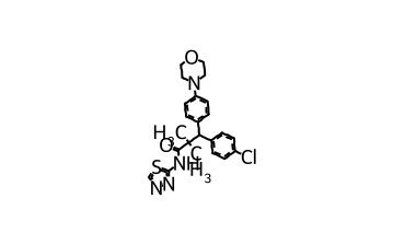 CC(C)(C(=O)Nc1nncs1)C(c1ccc(Cl)cc1)c1ccc(N2CCOCC2)cc1